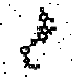 C[C@@H](Nc1nc(N2CC([C@H]3CCCN(C4CC(C)(C(=O)O)C4)C3)C2)ncc1C(C)(C)O)c1ccc(Cl)cc1Cl